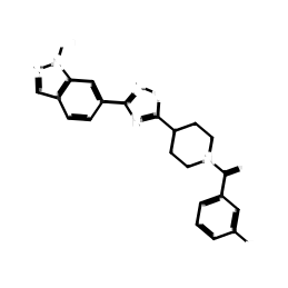 CC(C)n1ncc2ccc(-c3noc(C4CCN(C(=O)c5cccc(F)c5)CC4)n3)cc21